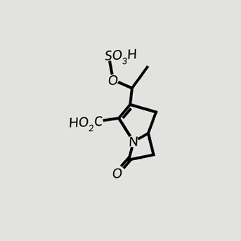 CC(OS(=O)(=O)O)C1=C(C(=O)O)N2C(=O)CC2C1